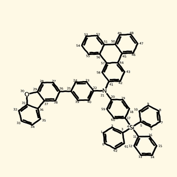 c1ccc([Si](c2ccccc2)(c2ccccc2)c2ccc(N(c3ccc(-c4ccc5oc6ccccc6c5c4)cc3)c3ccc4c5ccccc5c5ccccc5c4c3)cc2)cc1